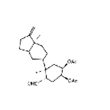 C=C1CCC2CC([C@@]3(C)C[C@@H](OC(C)=O)[C@@H](OC(C)=O)C[C@@H]3C=O)CC[C@]12C